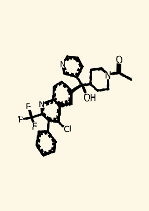 CC(=O)N1CCC(C(O)(c2cccnc2)c2ccc3nc(C(F)(F)F)c(-c4ccccc4)c(Cl)c3c2)CC1